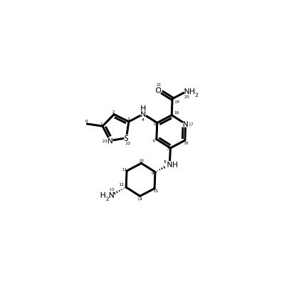 Cc1cc(Nc2cc(N[C@H]3CC[C@@H](N)CC3)cnc2C(N)=O)sn1